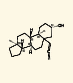 C=C=CC12CC[C@H]3[C@@H]4CCC[C@@]4(C)CC[C@@H]3[C@@]1(C)CC[C@H](O)C2